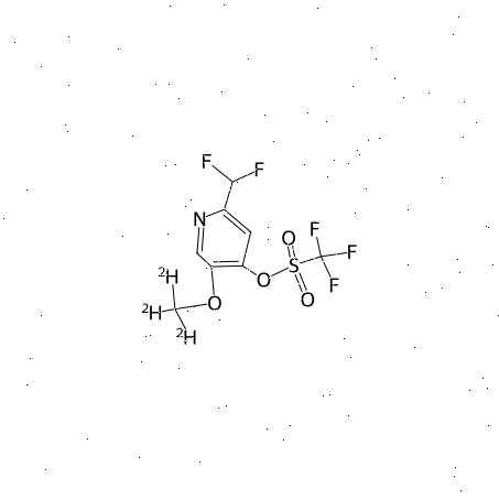 [2H]C([2H])([2H])Oc1cnc(C(F)F)cc1OS(=O)(=O)C(F)(F)F